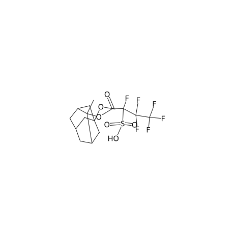 COC12CC3CC(C1)C(C)(OC(=O)C(F)(C(F)(F)C(F)(F)F)S(=O)(=O)O)C(C3)C2